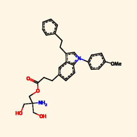 COc1ccc(-n2cc(CCc3ccccc3)c3cc(CCC(=O)OCC(N)(CO)CO)ccc32)cc1